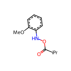 COc1ccccc1NOC(=O)C(C)C